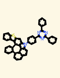 c1ccc(-c2nc(-c3ccccc3)nc(-c3ccc(-n4c5cc6sc7ccccc7c6c6c5c5c7c(cccc7ccc54)-c4ccccc4-6)cc3)n2)cc1